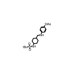 CSc1ccc(NCC2CCC(NS(=O)(=O)C(C)(C)C)CC2)cc1